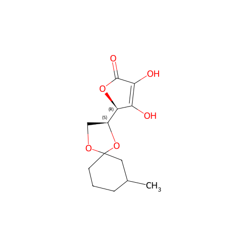 CC1CCCC2(C1)OC[C@@H]([C@H]1OC(=O)C(O)=C1O)O2